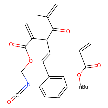 C=C(C)C(=O)C(C=Cc1ccccc1)C(=C)C(=O)OCN=C=O.C=CC(=O)OCCCC